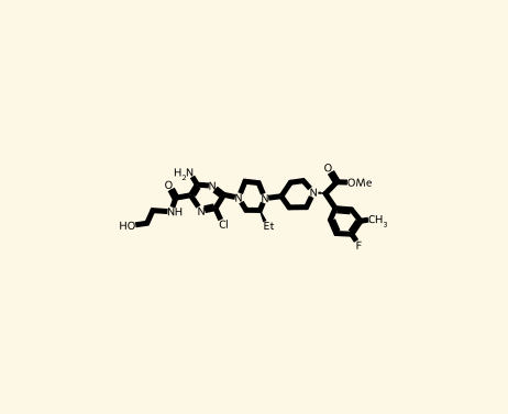 CC[C@H]1CN(c2nc(N)c(C(=O)NCCO)nc2Cl)CCN1C1CCN([C@H](C(=O)OC)c2ccc(F)c(C)c2)CC1